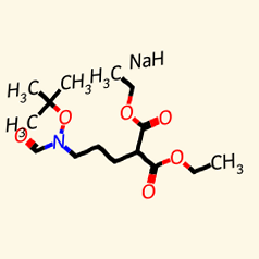 CCOC(=O)C(CCCN(C=O)OC(C)(C)C)C(=O)OCC.[NaH]